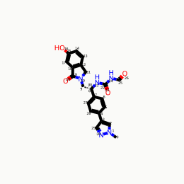 Cn1cc(-c2ccc([C@H](CN3Cc4ccc(O)cc4C3=O)NC(=O)NC=O)cc2)cn1